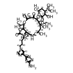 CC[C@H]1OC(=O)[C@H](C)C(=O)[C@H](C)[C@@H](O[C@@H]2O[C@H](C)CC(N(C)C)C2O)[C@](C)(OC)C[C@@H](C)CN[C@H](C)[C@H]2N(CCCCn3cc(-c4nnc(N)s4)nn3)C(=O)O[C@]12C